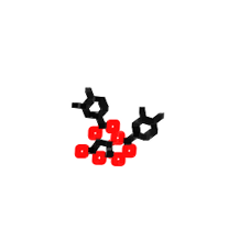 Cc1ccc(C(=O)O[C@H]2C(=O)OC(=O)[C@@H]2OC(=O)c2ccc(C)c(C)c2)cc1C